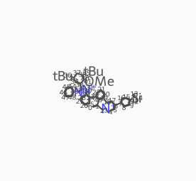 C=C1C[n+]2ccc(-c3ccc([Si](C)(C)C)cc3)cc2-c2cccc(-c3cccc4c3[n+](C)c(C3=CC(C(C)(C)C)CC(C(C)(C)C)=C3OC)n4-c3ccccc3)c21